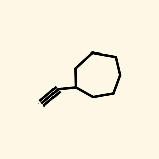 [C]#CC1CCCCCC1